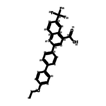 CCOc1ccc(-c2ccc(-c3cc(C(=O)O)c4cc(C(F)(F)F)ccc4n3)cc2)cc1